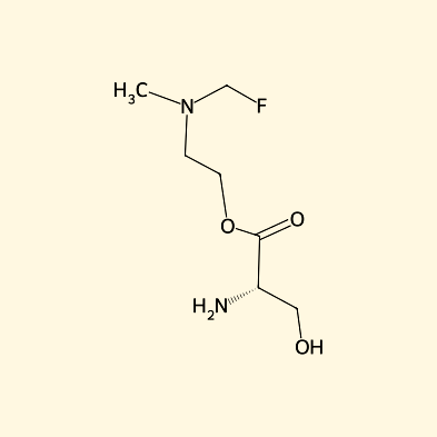 CN(CF)CCOC(=O)[C@@H](N)CO